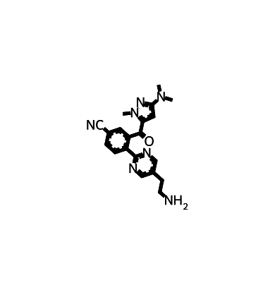 CN(C)c1cc(C(=O)c2cc(C#N)ccc2-c2ncc(CCN)cn2)n(C)n1